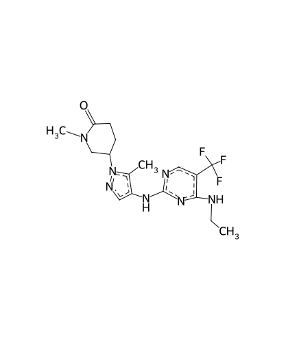 CCNc1nc(Nc2cnn(C3CCC(=O)N(C)C3)c2C)ncc1C(F)(F)F